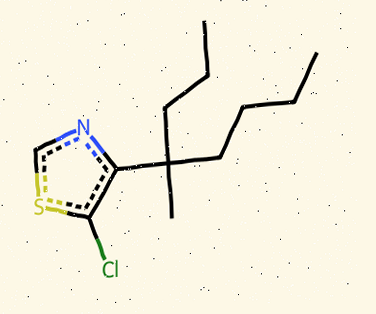 CCCCC(C)(CCC)c1ncsc1Cl